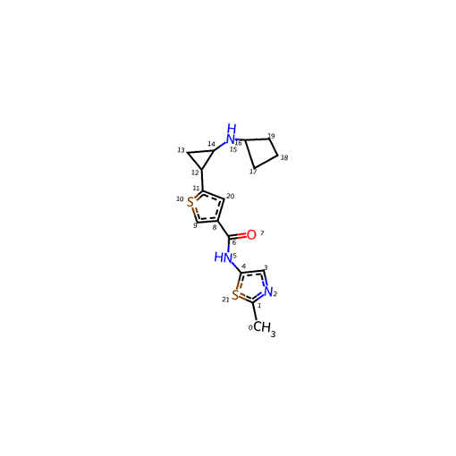 Cc1ncc(NC(=O)c2csc(C3CC3NC3CCC3)c2)s1